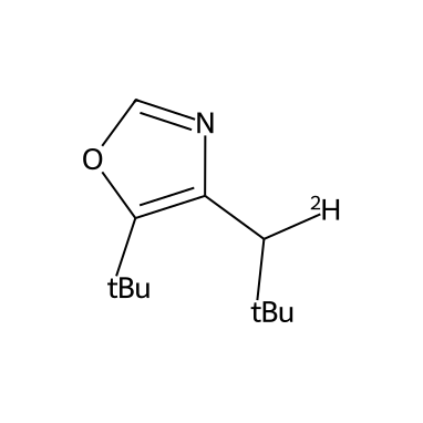 [2H]C(c1ncoc1C(C)(C)C)C(C)(C)C